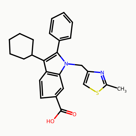 Cc1nc(Cn2c(-c3ccccc3)c(C3CCCCC3)c3ccc(C(=O)O)cc32)cs1